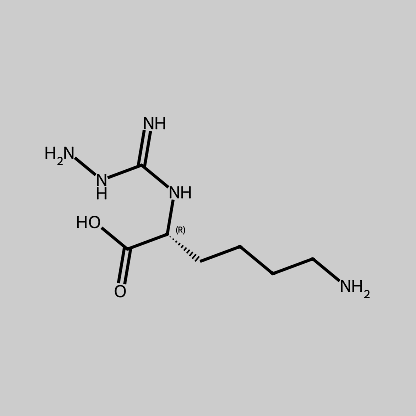 N=C(NN)N[C@H](CCCCN)C(=O)O